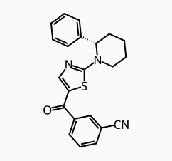 N#Cc1cccc(C(=O)c2cnc(N3CCCC[C@H]3c3ccccc3)s2)c1